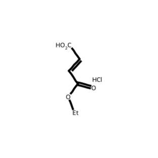 CCOC(=O)C=CC(=O)O.Cl